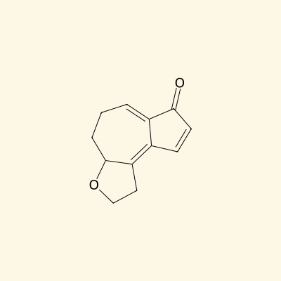 O=C1C=CC2=C3CCOC3CCC=C12